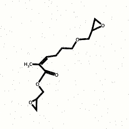 CC(=CCCCOCC1CO1)C(=O)OCC1CO1